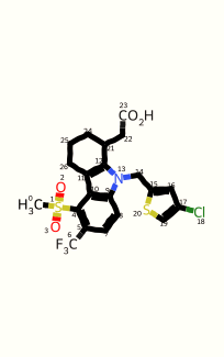 CS(=O)(=O)c1c(C(F)(F)F)ccc2c1c1c(n2Cc2cc(Cl)cs2)C(CC(=O)O)CCC1